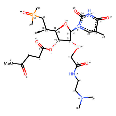 COC(=O)CCC(=O)O[C@H]1[C@@H](OCC(=O)NCCN(C)C)[C@H](n2cc(C)c(=O)[nH]c2=O)O[C@@H]1[C@@H](C)CP(C)(C)=O